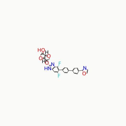 O[C@@H]1CO[C@H]2[C@@H]1OC[C@H]2Oc1nc2c(F)c(-c3ccc(-c4ccc(-c5ncco5)cc4)cc3)c(F)cc2[nH]1